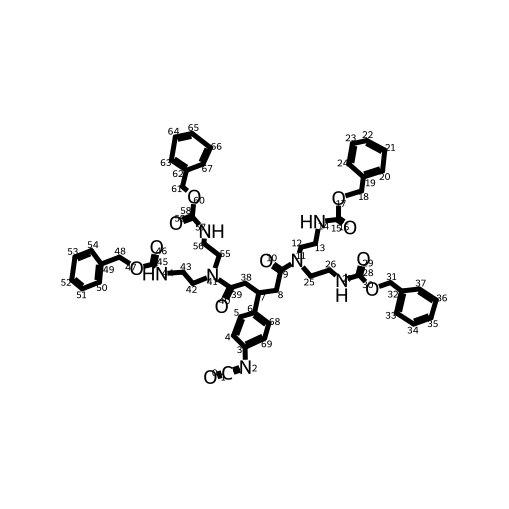 O=C=Nc1ccc(C(CC(=O)N(CCNC(=O)OCc2ccccc2)CCNC(=O)OCc2ccccc2)CC(=O)N(CCNC(=O)OCc2ccccc2)CCNC(=O)OCc2ccccc2)cc1